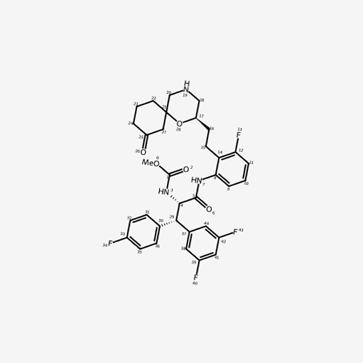 COC(=O)N[C@H](C(=O)Nc1cccc(F)c1CC[C@@H]1CNCC2(CCCC(=O)C2)O1)[C@@H](c1ccc(F)cc1)c1cc(F)cc(F)c1